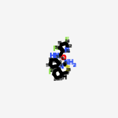 NC1=N[C@@]2(c3cc(NC(=O)c4ncc(F)cc4F)ccc3F)CCCC[C@H]2CS1